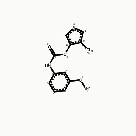 CC(C)Oc1cccc(NC(=O)Oc2cscc2C(F)(F)F)c1